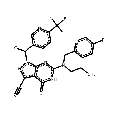 CCCN(Cc1ccc(F)cn1)c1nc2c(c(C#N)nn2C(C)c2ccc(C(F)(F)F)nc2)c(=O)[nH]1